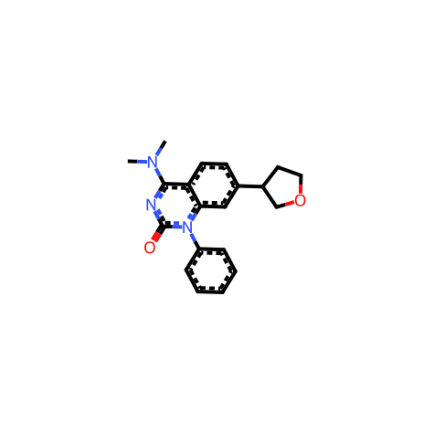 CN(C)c1nc(=O)n(-c2ccccc2)c2cc(C3CCOC3)ccc12